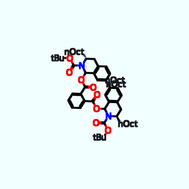 CCCCCCCCc1ccc2c(c1)C(OC(=O)c1ccccc1C(=O)OC1c3cc(CCCCCCCC)ccc3C[C@@H](CCCCCCCC)N1C(=O)OC(C)(C)C)N(C(=O)OC(C)(C)C)[C@H](CCCCCCCC)C2